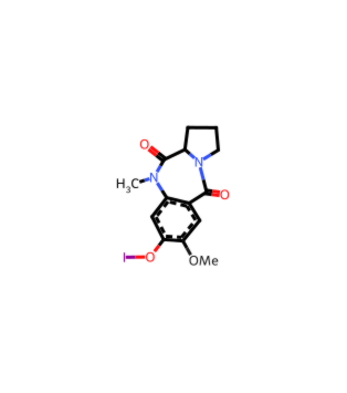 COc1cc2c(cc1OI)N(C)C(=O)C1CCCN1C2=O